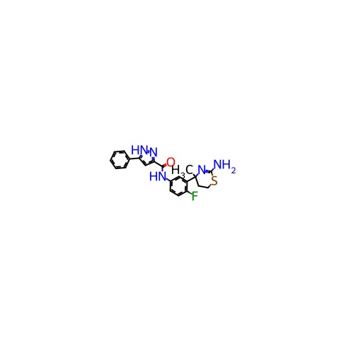 CC1(c2cc(NC(=O)c3cc(-c4ccccc4)[nH]n3)ccc2F)CCSC(N)=N1